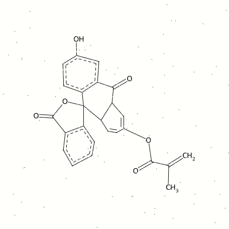 C=C(C)C(=O)OC1=CC2C(=O)c3cc(O)ccc3C3(OC(=O)c4ccccc43)C2C=C1